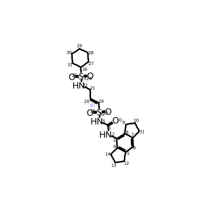 O=C(Nc1c2c(cc3c1CCC3)CCC2)NS(=O)(=O)/C=C/CNS(=O)(=O)C1CCCCC1